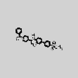 CS(=O)(=O)c1ccc(-c2ccc3c(c2)OCC(C2CCN(C(=O)c4ccccc4)CC2)N3)cc1